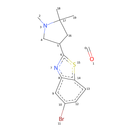 C=O.CN1CC(c2nc3cc(Br)ccc3s2)CC1(C)C